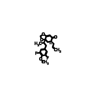 C=CC[C@H]1C[C@]2(C(C)Cc3cc(F)c(OC)c(F)c3)OCOC2=CC1=O